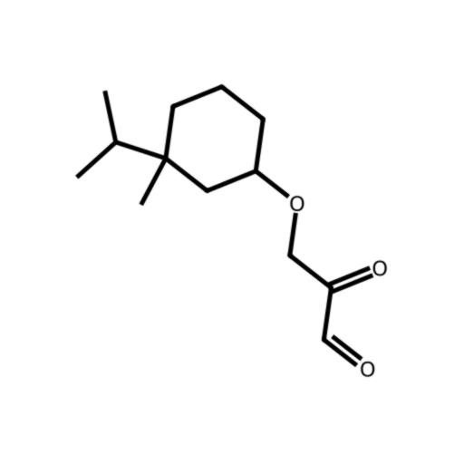 CC(C)C1(C)CCCC(OCC(=O)C=O)C1